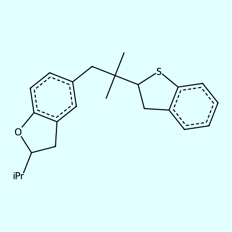 CC(C)C1Cc2cc(CC(C)(C)C3Cc4ccccc4S3)ccc2O1